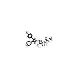 CC(CNC(=O)OC(C)(C)C)C(=O)Nc1nc(-c2ccc(F)cc2)c(N2CCOCC2)s1